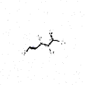 C/C=C/[C@H](O)[C@@H](N)[C@H](C)O